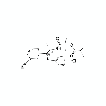 CC(C)C(=O)OC(C)(C)C(=O)N[C@@H](C)[C@@H](Cc1ccc(Cl)cc1)c1cccc(C#N)c1